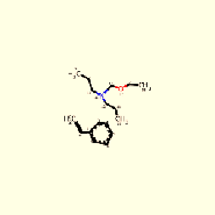 C=Cc1ccccc1.CCCN(CCC)COCC